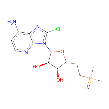 C=P(C)(C)CC[C@H]1OC(n2c(Cl)nc3c(N)ccnc32)[C@H](O)[C@@H]1O